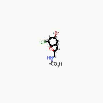 O=C(O)NCc1cc2cc(Br)cc(Cl)c2o1